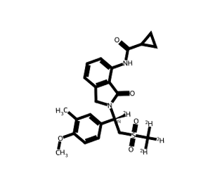 [2H]C([2H])([2H])S(=O)(=O)C[C@]([2H])(c1ccc(OC)c(C)c1)N1Cc2cccc(NC(=O)C3CC3)c2C1=O